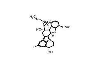 C=CCN1C2[C@H]1C[C@]13c4c(C)ccc(OC)c4O[C@H]1c1c(c4cc(F)cc5c4n1CC[C@@H]5O)C[C@@]23O